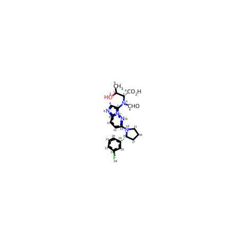 CC(O)[C@H](C(=O)O)N(C=O)c1cnc2ccc(N3CCC[C@@H]3c3cccc(F)c3)nn12